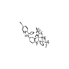 C#Cc1ccc(C(=O)Nc2ccc(F)c([C@]34CO[C@H](C(F)(F)F)[C@H]3CSC(N)=N4)c2)nc1